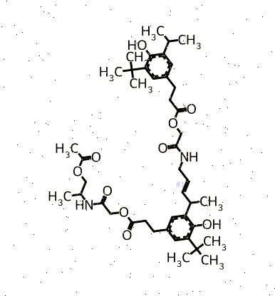 CC(=O)OCC(C)NC(=O)COC(=O)CCc1cc(C(C)/C=C/CNC(=O)COC(=O)CCc2cc(C(C)C)c(O)c(C(C)(C)C)c2)c(O)c(C(C)(C)C)c1